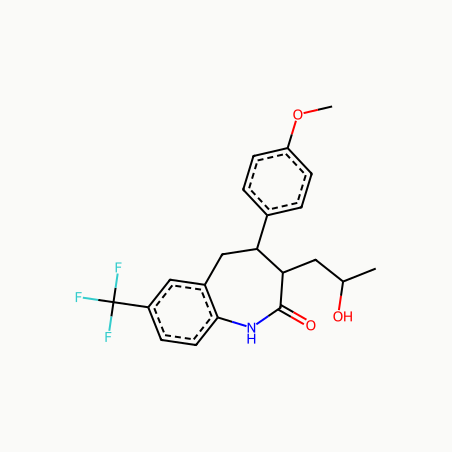 COc1ccc(C2Cc3cc(C(F)(F)F)ccc3NC(=O)C2CC(C)O)cc1